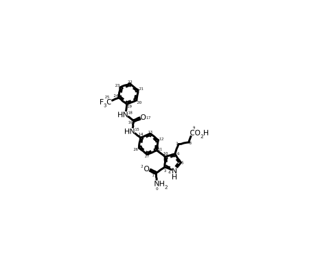 NC(=O)c1[nH]cc(CCC(=O)O)c1-c1ccc(NC(=O)Nc2ccccc2C(F)(F)F)cc1